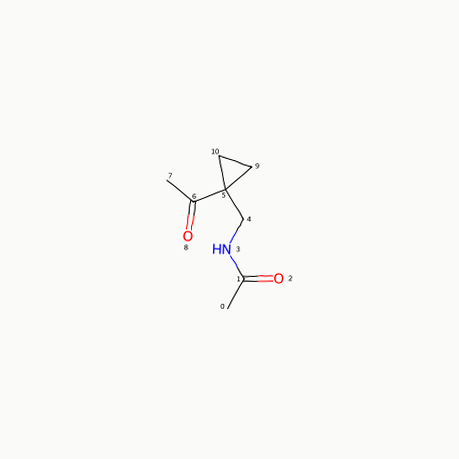 CC(=O)NCC1(C(C)=O)CC1